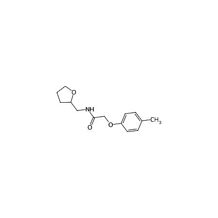 Cc1ccc(OCC(=O)NCC2CCCO2)cc1